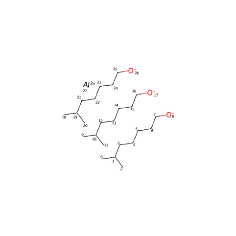 CC(C)CCCCC[O-].CC(C)CCCCC[O-].CC(C)CCCCC[O-].[Al+3]